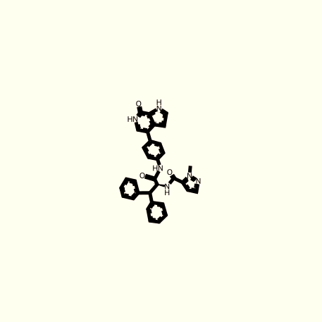 Cn1nccc1C(=O)N[C@H](C(=O)Nc1ccc(-c2c[nH]c(=O)c3[nH]ccc23)cc1)C(c1ccccc1)c1ccccc1